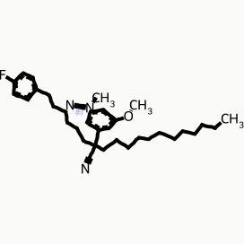 CCCCCCCCCCCCC(C#N)(CCCC(CCc1ccc(F)cc1)/N=N/C)c1cccc(OC)c1